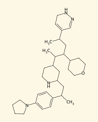 CC(CC(C1CCOCC1)C(C)C1CCNC(CC(C)c2ccc(N3CCCC3)cc2)C1)C1=CCNN=C1